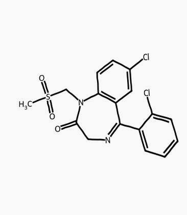 CS(=O)(=O)CN1C(=O)CN=C(c2ccccc2Cl)c2cc(Cl)ccc21